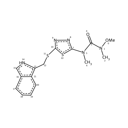 CON(C)C(=O)N(C)c1nnc(SCc2[nH]cc3ccccc23)s1